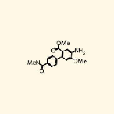 CNC(=O)c1ccc(-c2cc(OC)c(N)cc2C(=O)OC)cc1